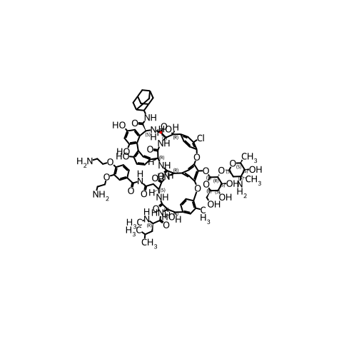 CN[C@H](CC(C)C)C(=O)N[C@H]1C(=O)N[C@@H](CC(=O)NC(=O)c2ccc(OCCN)c(OCCN)c2)C(=O)N[C@H]2C(=O)N[C@H]3C(=O)N[C@H](C(=O)N[C@H](C(=O)NC4C5CC6CC(C5)CC4C6)c4cc(O)cc(O)c4-c4cc3ccc4O)[C@H](O)c3ccc(c(Cl)c3)Oc3cc2cc(c3O[C@@H]2O[C@H](CO)[C@@H](O)[C@H](O)[C@H]2O[C@H]2C[C@](C)(N)[C@H](O)[C@H](C)O2)Oc2ccc(cc2C)[C@H]1O